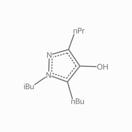 CCCCc1c(O)c(CCC)nn1C(C)CC